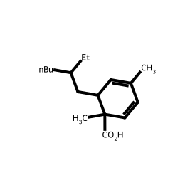 CCCCC(CC)CC1C=C(C)C=CC1(C)C(=O)O